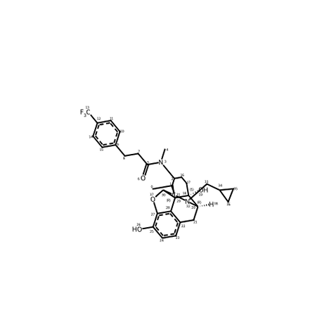 CC1C(N(C)C(=O)CCc2ccc(C(F)(F)F)cc2)CC[C@@]2(O)[C@H]3Cc4ccc(O)c5c4[C@@]12C(CN3CC1CC1)O5